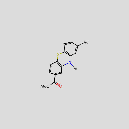 COC(=O)c1ccc2c(c1)N(C(C)=O)c1cc(C(C)=O)ccc1S2